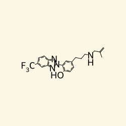 C=C(C)CNCCCc1ccc(O)c(-n2nc3ccc(C(F)(F)F)cc3n2)c1